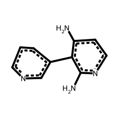 Nc1ccnc(N)c1-c1cccnc1